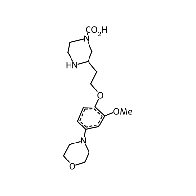 COc1cc(N2CCOCC2)ccc1OCCC1CN(C(=O)O)CCN1